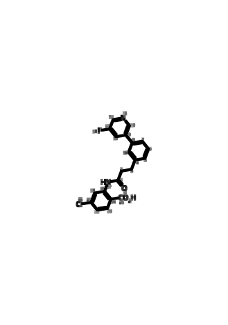 O=C(CCc1cccc(-c2cncc(F)c2)c1)Nc1cc(Cl)ccc1C(=O)O